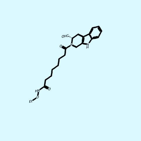 CCONC(=O)CCCCCCC(=O)N1Cc2[nH]c3ccccc3c2C[C@H]1C=O